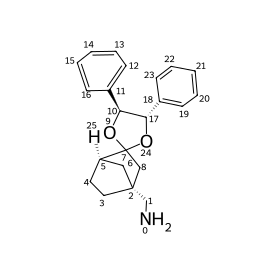 NC[C@]12CC[C@H](C1)C1(C2)O[C@@H](c2ccccc2)[C@H](c2ccccc2)O1